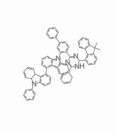 CC1(C)c2ccccc2-c2c(C3N=C(c4ccc(-c5ccccc5)cc4-n4c5c(c6c(-c7cccc8c7C7C=CC=CC7N8c7ccccc7)cccc64)=CCCC=5)N=C(C4C=CC=CC4)N3)cccc21